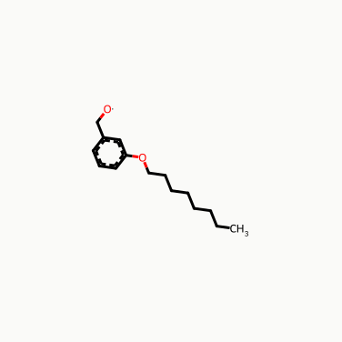 CCCCCCCCOc1cccc(C[O])c1